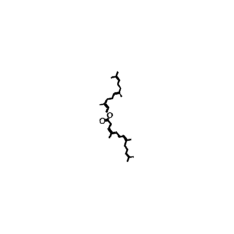 CC(C)=CCCC(C)=CCCC(C)=CCOC(=O)CC=C(C)CCC=C(C)CCC=C(C)C